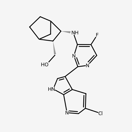 OC[C@@H]1C2CCC(C2)[C@@H]1Nc1nc(-c2c[nH]c3ncc(Cl)cc23)ncc1F